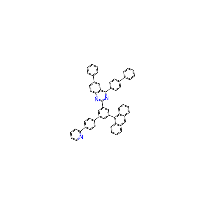 c1ccc(-c2ccc(-c3nc(-c4cc(-c5ccc(-c6ccccn6)cc5)cc(-c5c6ccccc6cc6ccccc56)c4)nc4ccc(-c5ccccc5)cc34)cc2)cc1